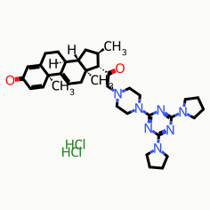 C[C@@H]1C[C@H]2[C@@H]3CCC4=CC(=O)C=C[C@]4(C)C3=CC[C@]2(C)[C@H]1C(=O)CN1CCN(c2nc(N3CCCC3)nc(N3CCCC3)n2)CC1.Cl.Cl